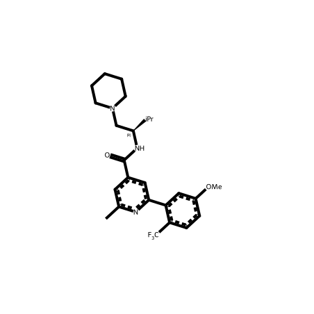 COc1ccc(C(F)(F)F)c(-c2cc(C(=O)N[C@@H](CN3CCCCC3)C(C)C)cc(C)n2)c1